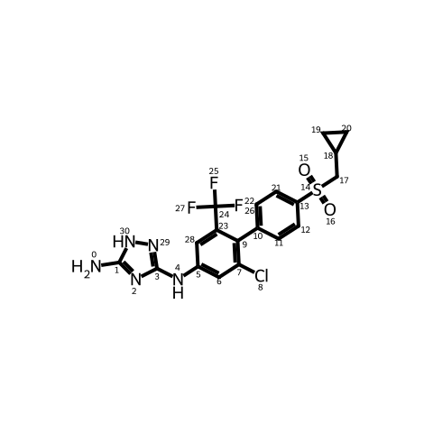 Nc1nc(Nc2cc(Cl)c(-c3ccc(S(=O)(=O)CC4CC4)cc3)c(C(F)(F)F)c2)n[nH]1